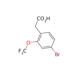 O=C(O)Cc1ccc(Br)cc1OC(F)(F)F